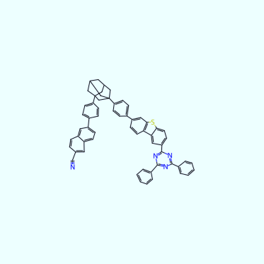 N#Cc1ccc2cc(-c3ccc(C45CC6CC(C4)CC(c4ccc(-c7ccc8c(c7)sc7ccc(-c9nc(-c%10ccccc%10)nc(-c%10ccccc%10)n9)cc78)cc4)(C6)C5)cc3)ccc2c1